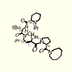 C/C(=C\[C@H](C(C)C)N(C)C(=O)[C@@H](NC(=O)[C@H]1CCCCN1C(C)C)C(C)(C)C)C(=O)N1CCC[C@H]1C(=O)N1CCCCCCC1